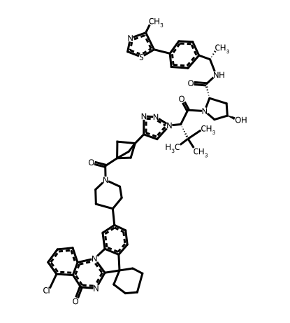 Cc1ncsc1-c1ccc([C@H](C)NC(=O)[C@@H]2C[C@@H](O)CN2C(=O)[C@@H](n2cc(C34CC(C(=O)N5CCC(c6ccc7c(c6)-n6c(nc(=O)c8c(Cl)cccc86)C76CCCCC6)CC5)(C3)C4)nn2)C(C)(C)C)cc1